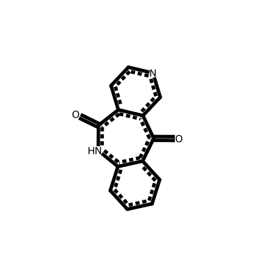 O=c1[nH]c2ccccc2c(=O)c2cnccc12